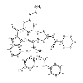 NCCCC[C@H](NC(=O)[C@@H]1C[C@@H](OC(=O)N2CCCCC2)CN1C(=O)[C@@H](Cc1cccc(Cl)c1)NC(=O)OCc1ccccc1)C(=O)c1nc2ccccc2o1